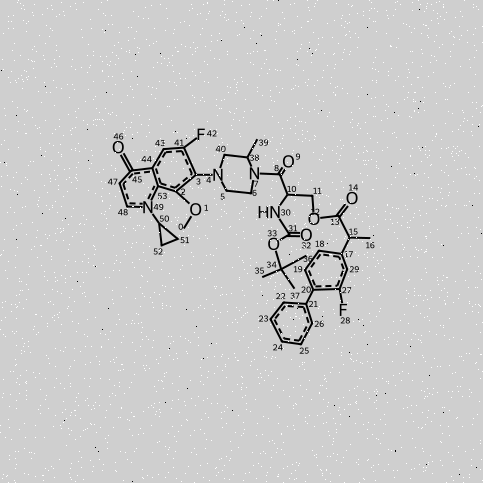 COc1c(N2CCN(C(=O)C(COC(=O)C(C)c3ccc(-c4ccccc4)c(F)c3)NC(=O)OC(C)(C)C)C(C)C2)c(F)cc2c(=O)ccn(C3CC3)c12